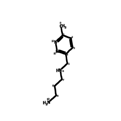 Cc1ccc(CNCCCN)nn1